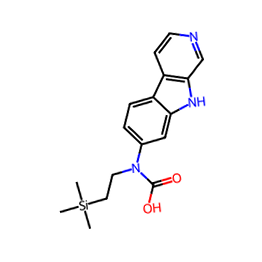 C[Si](C)(C)CCN(C(=O)O)c1ccc2c(c1)[nH]c1cnccc12